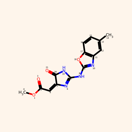 COC(=O)/C=C1/N=C(Nc2nc3cc(C)ccc3o2)NC1=O